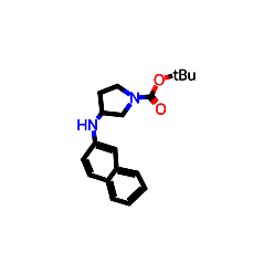 CC(C)(C)OC(=O)N1CCC(Nc2ccc3ccccc3c2)C1